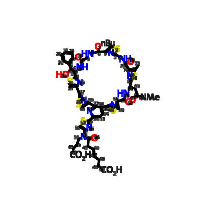 CCCCc1sc2nc1C(=O)NCC(=O)N[C@@H]([C@@H](O)c1ccccc1)c1nc(cs1)-c1nc(cs1)-c1nc(-c3nc(N(CCCC(=O)O)C(=O)CCCCCC(=O)O)cs3)ccc1-c1nc(cs1)C(=O)N[C@@H](CC(=O)NC)c1nc(c(C)s1)C(=O)N2